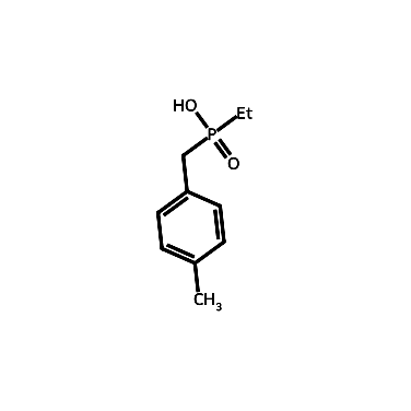 CCP(=O)(O)Cc1ccc(C)cc1